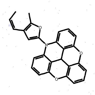 C/C=C\c1cc(N2c3cccc4c3C3c5c(cccc5Oc5cccc2c53)O4)oc1C